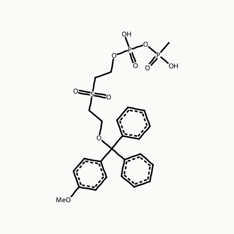 COc1ccc(C(OCCS(=O)(=O)CCOP(=O)(O)OP(C)(=O)O)(c2ccccc2)c2ccccc2)cc1